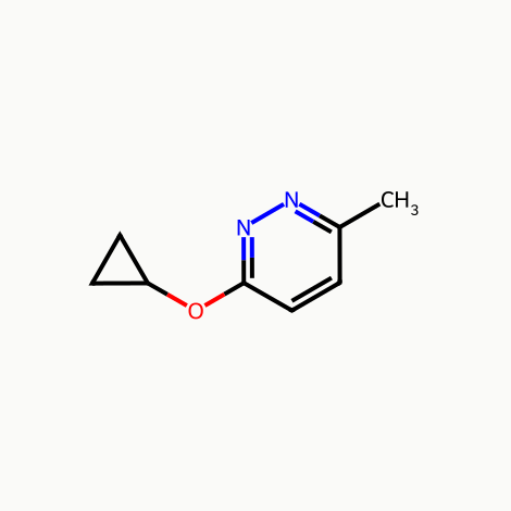 Cc1ccc(OC2CC2)nn1